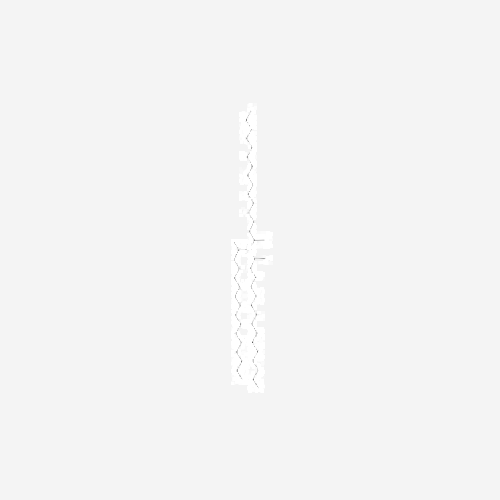 CCCCCCCCCCCCCCC(C)P(C(C)CCCCCCCCCCCCCC)C(C)CCCCCCCCCCCCCC